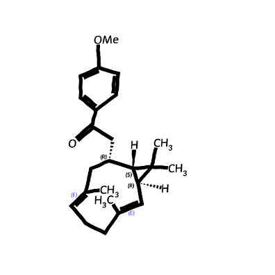 COc1ccc(C(=O)C[C@H]2C/C(C)=C/CC/C(C)=C/[C@H]3[C@H]2C3(C)C)cc1